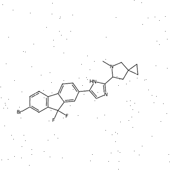 CN1CC2(CC2)CC1c1ncc(-c2ccc3c(c2)C(F)(F)c2cc(Br)ccc2-3)[nH]1